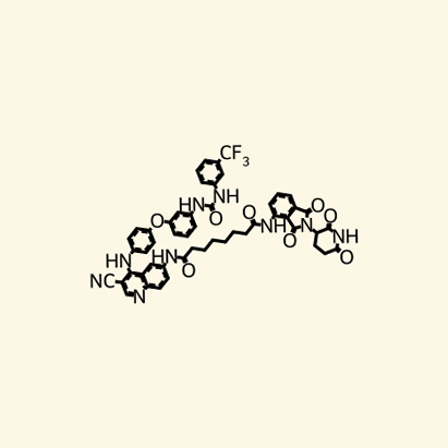 N#Cc1cnc2ccc(NC(=O)CCCCCCC(=O)Nc3cccc4c3C(=O)N(C3CCC(=O)NC3=O)C4=O)cc2c1Nc1ccc(Oc2cccc(NC(=O)Nc3cccc(C(F)(F)F)c3)c2)cc1